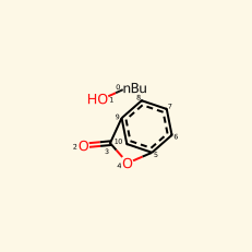 CCCCO.O=C1Oc2cccc1c2